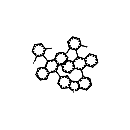 Fc1cccc(F)c1-c1c2ccccc2c(-c2ccc3oc4cccc(-c5c6ccccc6c(-c6c(F)cccc6F)c6ccccc56)c4c3c2)c2ccccc12